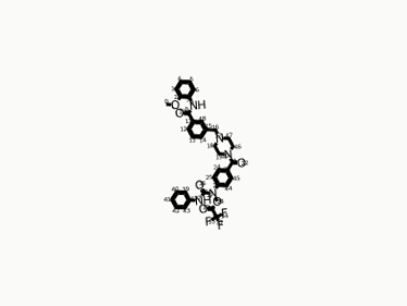 COc1ccccc1NC(=O)c1cccc(CN2CCN(C(=O)c3ccc(N(OC(=O)C(F)(F)F)C(=O)Nc4ccccc4)cc3)CC2)c1